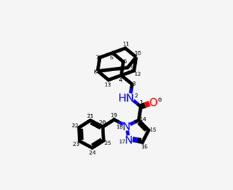 O=C(NCC12CC3CC(CC(C3)C1)C2)c1ccnn1Cc1ccccc1